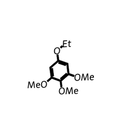 CCOc1cc(OC)c(OC)c(OC)c1